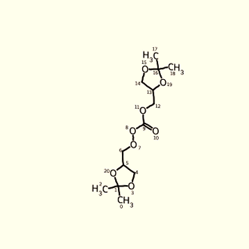 CC1(C)OCC(COOC(=O)OCC2COC(C)(C)O2)O1